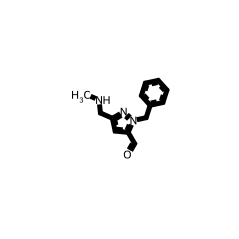 CNCc1cc(C=O)n(Cc2ccccc2)n1